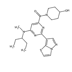 CCC(CC)N(C)c1cc(C(=O)N2CCC(O)CC2)nc(-c2cnn3ccsc23)n1